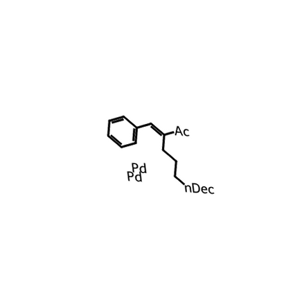 CCCCCCCCCCCCCC(=Cc1ccccc1)C(C)=O.[Pd].[Pd]